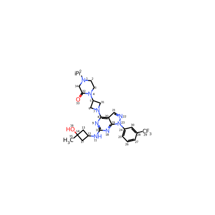 CC(C)N1CCN(C2CN(c3nc(NC4CC(C)(O)C4)nc4c3cnn4-c3cccc(C(F)(F)F)c3)C2)C(=O)C1